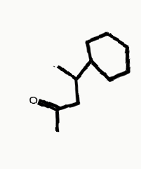 [CH2]C(CC(C)=O)C1CCCCC1